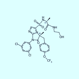 C[C@H](NS(=O)(=O)c1cnc2n1[C@](C)(Cc1ccc(OC(F)(F)F)cc1)C(=O)N2c1cc(Cl)cc(Cl)c1)C(=O)NCCO